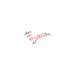 [Fe+3].[Li+].[O-2].[O-2].[O-2].[O-2].[Ti+4]